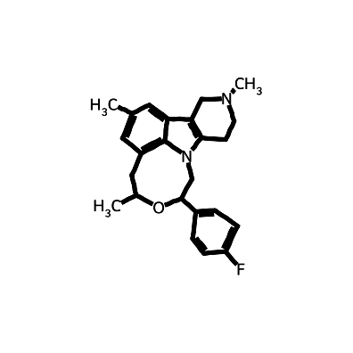 Cc1cc2c3c(c1)c1c(n3CC(c3ccc(F)cc3)OC(C)C2)CCN(C)C1